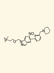 C[Si](C)(C)CCOCn1ncc2cc(-c3cccc(CN4CCCCC4)c3)c([N+](=O)[O-])cc21